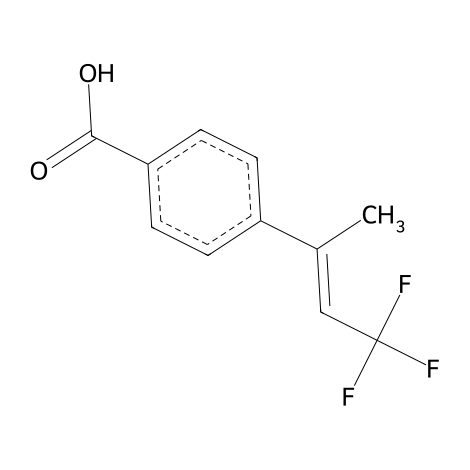 C/C(=C\C(F)(F)F)c1ccc(C(=O)O)cc1